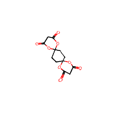 O=C1CC(=O)OC2(CCC3(CC2)OC(=O)CC(=O)O3)O1